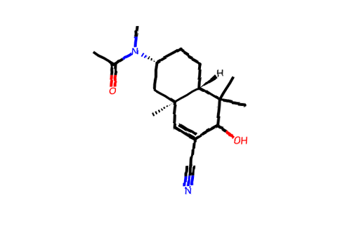 CC(=O)N(C)[C@@H]1CC[C@@H]2C(C)(C)C(O)C(C#N)=C[C@@]2(C)C1